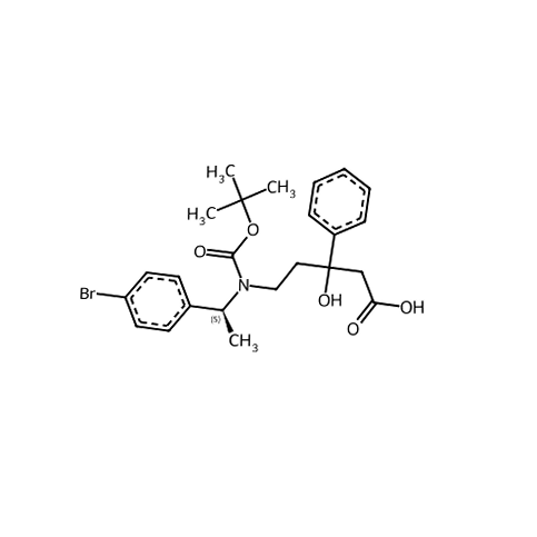 C[C@@H](c1ccc(Br)cc1)N(CCC(O)(CC(=O)O)c1ccccc1)C(=O)OC(C)(C)C